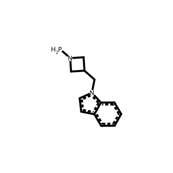 PN1CC(Cn2ccc3ccccc32)C1